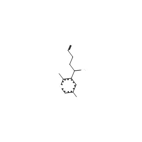 C=CCCC(C#N)c1cc(F)cnc1Cl